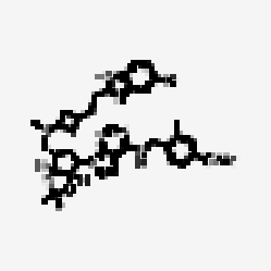 COc1ccc(CNc2ncnc3c2ccn3[C@@H]2C[C@H](CN(C)C3CC(CCc4nc5cc(Br)ccc5[nH]4)C3)[C@H]3OC(C)(C)O[C@H]32)c(C)c1